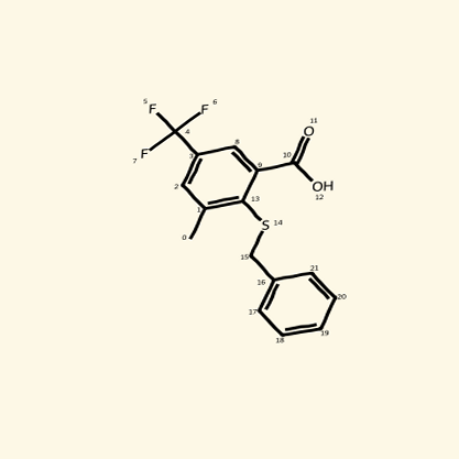 Cc1cc(C(F)(F)F)cc(C(=O)O)c1SCc1ccccc1